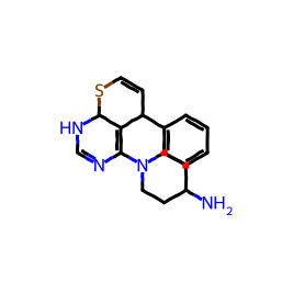 NC1CCN(C2=C3C(NC=N2)SC=CC3c2ccccc2)CC1